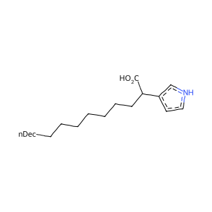 CCCCCCCCCCCCCCCCCC(C(=O)O)c1cc[nH]c1